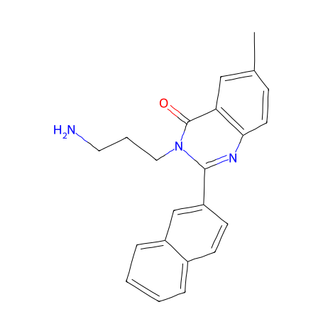 Cc1ccc2nc(-c3ccc4ccccc4c3)n(CCCN)c(=O)c2c1